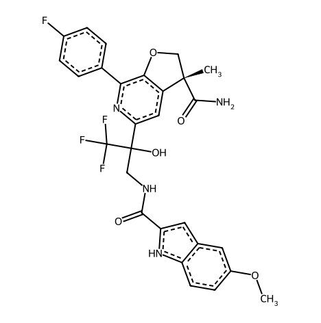 COc1ccc2[nH]c(C(=O)NCC(O)(c3cc4c(c(-c5ccc(F)cc5)n3)OC[C@]4(C)C(N)=O)C(F)(F)F)cc2c1